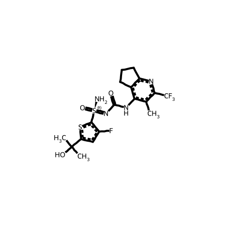 Cc1c(C(F)(F)F)nc2c(c1NC(=O)N=[S@@](N)(=O)c1sc(C(C)(C)O)cc1F)CCC2